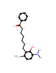 CCN(CC)c1ccc(C(=O)O)c(CCCCCCC(=O)c2ccccc2)c1O